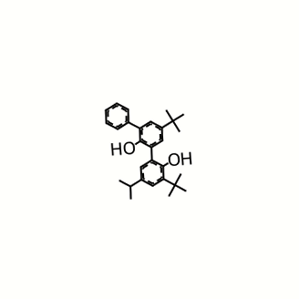 CC(C)c1cc(-c2cc(C(C)(C)C)cc(-c3ccccc3)c2O)c(O)c(C(C)(C)C)c1